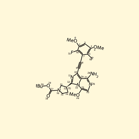 COc1cc(OC)c(F)c(C#Cc2nc([C@H]3CCN(C(=O)OC(C)(C)C)C3)n3c(OC)cnc(N)c23)c1F